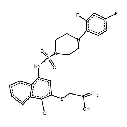 C=C(O)CSc1cc(NS(=O)(=O)N2CCN(c3ccc(F)cc3F)CC2)c2ccccc2c1O